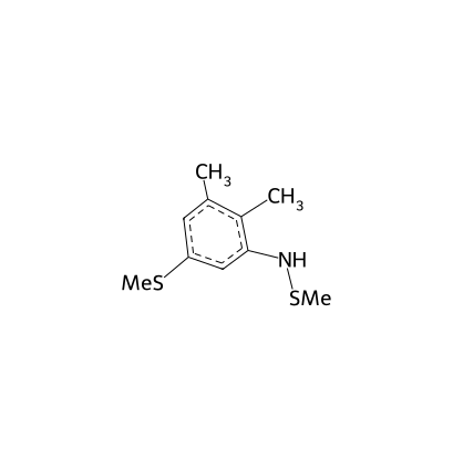 CSNc1cc(SC)cc(C)c1C